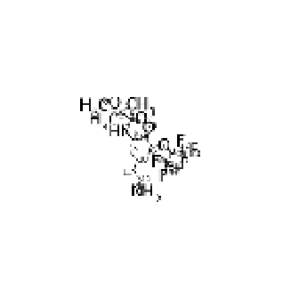 COC(C)(C)C(=O)N[C@@H](CCCCN)C(=O)COC(C(F)(F)F)C(F)(F)F